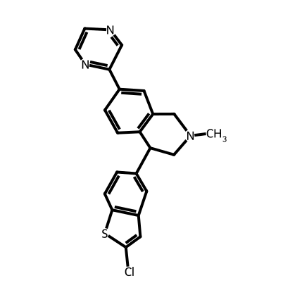 CN1Cc2cc(-c3cnccn3)ccc2C(c2ccc3sc(Cl)cc3c2)C1